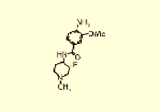 COc1cc(C(=O)NC2CCN(C)C[C@H]2F)ccc1N